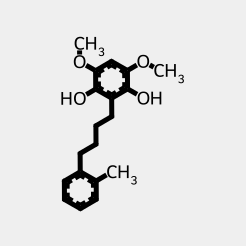 COc1cc(OC)c(O)c(CCCCc2ccccc2C)c1O